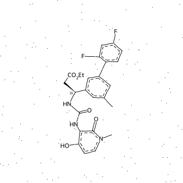 CCOC(=O)C[C@H](NC(=O)Nc1c(O)ccn(C)c1=O)c1cc(C)cc(-c2ccc(F)cc2F)c1